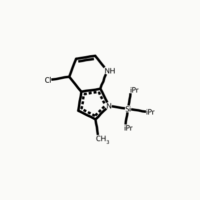 Cc1cc2c(n1[Si](C(C)C)(C(C)C)C(C)C)NC=CC2Cl